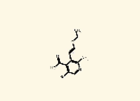 CCO/C=C/c1c(N)ncc(Br)c1C(=O)O